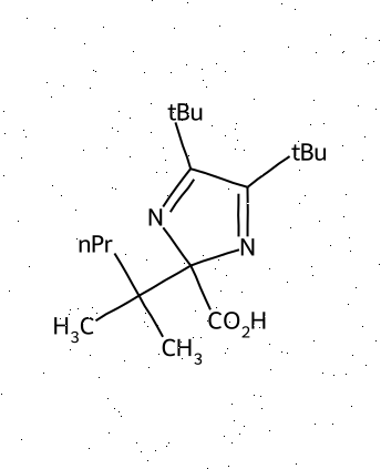 CCCC(C)(C)C1(C(=O)O)N=C(C(C)(C)C)C(C(C)(C)C)=N1